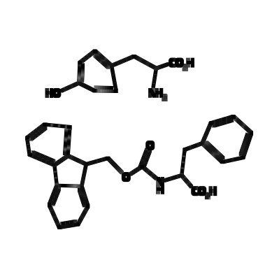 NC(Cc1ccc(O)cc1)C(=O)O.O=C(NC(Cc1ccccc1)C(=O)O)OCC1c2ccccc2-c2ccccc21